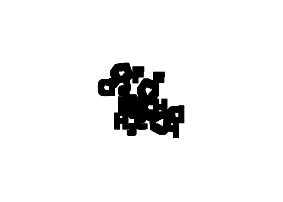 CC(C)(c1ccc(I)c(Cl)c1)c1cnc(SCc2c(F)cccc2Cl)n1-c1ccc(F)cc1